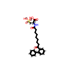 O=C(CCCCCCCC(=O)c1ccccc1-c1ccccc1)N[C@@H](CS(=O)(=O)O)C(=O)O